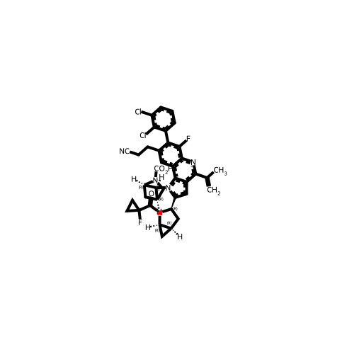 C=C(C)c1nc2c(F)c(-c3cccc(Cl)c3Cl)c(CCC#N)cc2c2c1cc([C@H]1C[C@H]3C[C@H]3N1C(=O)C1(F)CC1)n2[C@H]1[C@@H]2C[C@H]1N(C(=O)O)C2